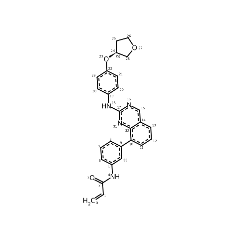 C=CC(=O)Nc1cccc(-c2cccc3cnc(Nc4ccc(O[C@H]5CCOC5)cc4)nc23)c1